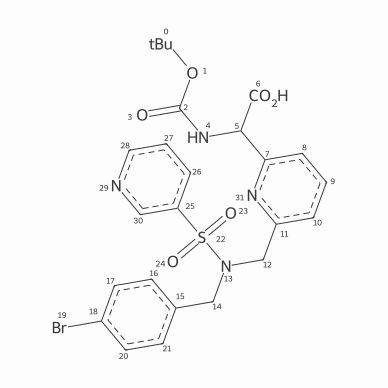 CC(C)(C)OC(=O)NC(C(=O)O)c1cccc(CN(Cc2ccc(Br)cc2)S(=O)(=O)c2cccnc2)n1